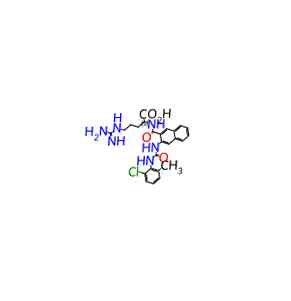 Cc1cccc(Cl)c1NC(=O)Nc1cc2ccccc2cc1C(=O)N[C@@H](CCCNC(=N)N)C(=O)O